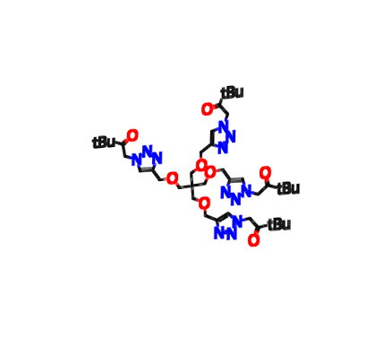 CC(C)(C)C(=O)Cn1cc(COCC(COCc2cn(CC(=O)C(C)(C)C)nn2)(COCc2cn(CC(=O)C(C)(C)C)nn2)COCc2cn(CC(=O)C(C)(C)C)nn2)nn1